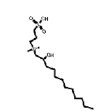 CCCCCCCCCCC(O)C[N+](C)(C)CCCS(=O)(=O)O